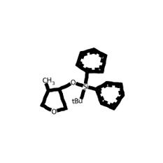 CC1COCC1O[Si](c1ccccc1)(c1ccccc1)C(C)(C)C